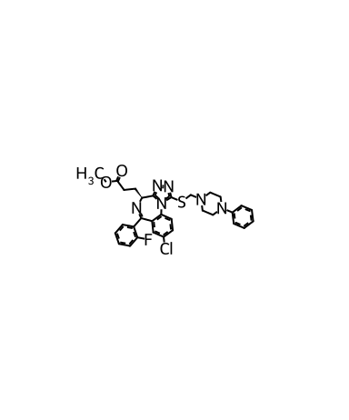 COC(=O)CC[C@@H]1N=C(c2ccccc2F)c2cc(Cl)ccc2-n2c(SCN3CCN(c4ccccc4)CC3)nnc21